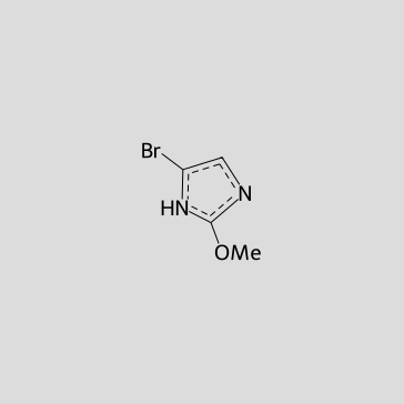 COc1ncc(Br)[nH]1